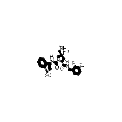 CC(=O)n1cc(NC(=O)N2C[C@@](F)(CN)C[C@H]2C(=O)NCc2cccc(Cl)c2F)c2ccccc21